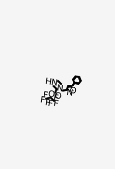 O=C(OC(C(F)(F)F)C(F)(F)F)C1CNCCN1Cc1cc(-c2ccccc2)on1